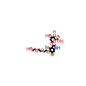 O=C(O)[C@H]1O[C@@H](Oc2c[nH]c3cc(Br)c(OCCOCCOCCO)c(Br)c23)C[C@@H](O)[C@@H]1O